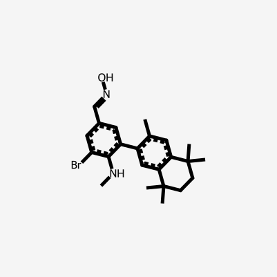 CNc1c(Br)cc(C=NO)cc1-c1cc2c(cc1C)C(C)(C)CCC2(C)C